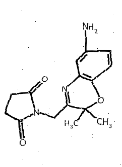 CC1(C)Oc2ccc(N)cc2N=C1CN1C(=O)CCC1=O